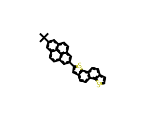 CC(C)(C)c1cc2ccc3cc(-c4cc5ccc6c(ccc7ccsc76)c5s4)cc4ccc(c1)c2c34